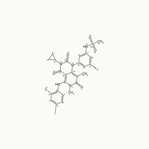 Cc1c(=O)n(C)c(Nc2ccc(I)cc2F)c2c(=O)n(C3CC3)c(=O)n(-c3cc(I)cc(NS(C)(=O)=O)c3)c12